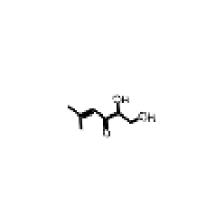 CC(C)=CC(=O)C(O)CO